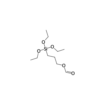 CCO[Si](CCCOC=O)(OCC)OCC